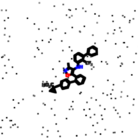 Cc1noc(-c2ccccc2-c2ccc(C3(C(=O)O)CC3)cc2)c1Nc1cccc(-c2ccccc2)c1C(F)(F)F